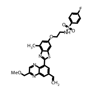 C=Cc1cc(-c2nc3c(C)cc(OCCNS(=O)(=O)c4ccc(F)cc4)cc3s2)c2ncc(COC)nc2c1